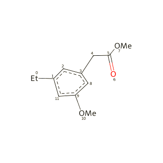 CCc1cc(CC(=O)OC)cc(OC)c1